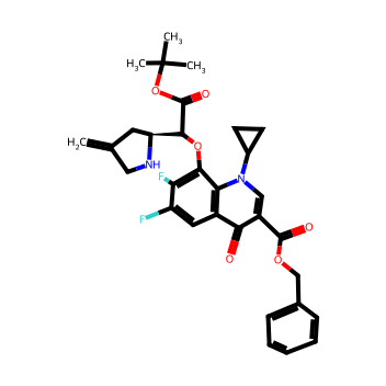 C=C1CN[C@H](C(Oc2c(F)c(F)cc3c(=O)c(C(=O)OCc4ccccc4)cn(C4CC4)c23)C(=O)OC(C)(C)C)C1